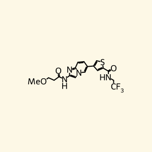 COCCC(=O)Nc1cn2cc(-c3csc(C(=O)NCC(F)(F)F)c3)ccc2n1